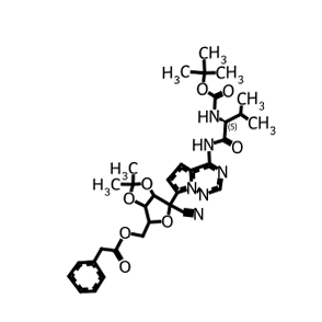 CC(C)[C@H](NC(=O)OC(C)(C)C)C(=O)Nc1ncnn2c(C3(C#N)OC(COC(=O)Cc4ccccc4)C4OC(C)(C)OC43)ccc12